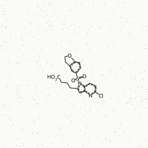 O=C(O)CCCc1cc2nc(Cl)ccc2n1S(=O)(=O)c1ccc2c(c1)CCO2